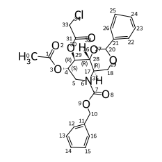 CC(=O)O[C@H]1CN(C(=O)OCc2ccccc2)[C@@H]2COC(c3ccccc3)O[C@H]2[C@@H]1OC(=O)CCl